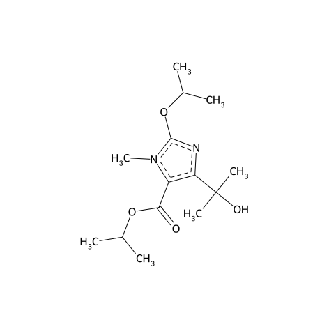 CC(C)OC(=O)c1c(C(C)(C)O)nc(OC(C)C)n1C